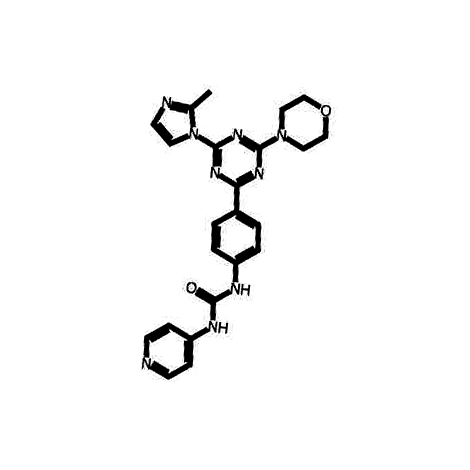 Cc1nccn1-c1nc(-c2ccc(NC(=O)Nc3ccncc3)cc2)nc(N2CCOCC2)n1